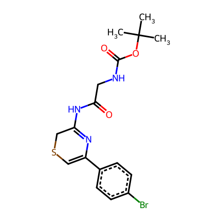 CC(C)(C)OC(=O)NCC(=O)NC1=NC(c2ccc(Br)cc2)=CSC1